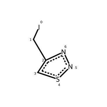 ICc1csnn1